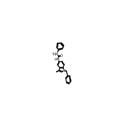 Cc1cn(Cc2ccccc2)c2ccc(NC(=O)Nc3ccccc3)cc12